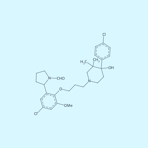 COc1cc(Cl)cc(C2CCCN2C=O)c1OCCCN1CCC(O)(c2ccc(Cl)cc2)C(C)(C)C1